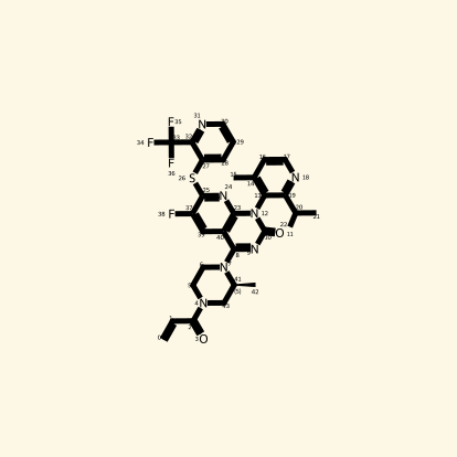 C=CC(=O)N1CCN(c2nc(=O)n(-c3c(C)ccnc3C(C)C)c3nc(Sc4cccnc4C(F)(F)F)c(F)cc23)[C@@H](C)C1